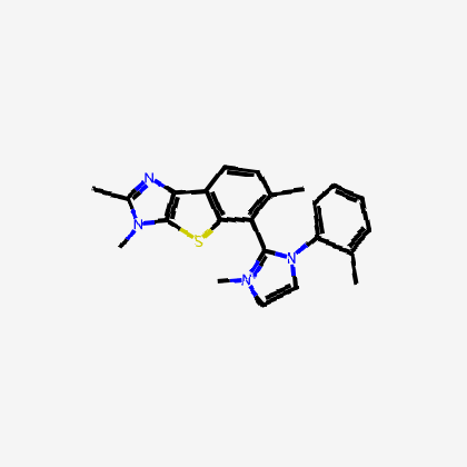 Cc1ccccc1-n1cc[n+](C)c1-c1c(C)ccc2c1sc1c2nc(C)n1C